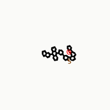 c1cc(-c2ccc3sc4ccc5ccc6c7ccccc7oc6c5c4c3c2)cc(-c2c3ccccc3c(-c3ccc4ccccc4c3)c3ccccc23)c1